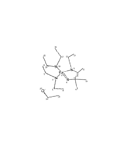 CC[N](CC)[Ta+](=[N]C(C)(C)C)([N](CC)CC)[N](CC)CC.CC[O-]